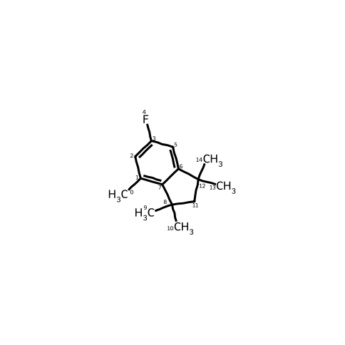 Cc1cc(F)cc2c1C(C)(C)CC2(C)C